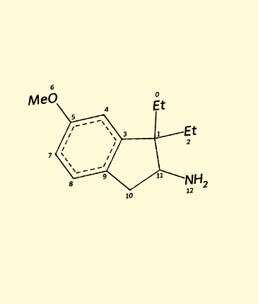 CCC1(CC)c2cc(OC)ccc2CC1N